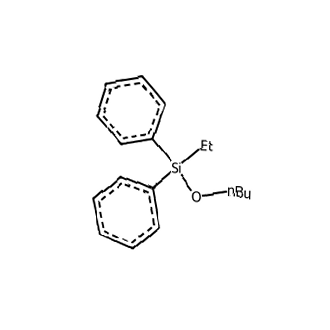 CCCCO[Si](CC)(c1ccccc1)c1ccccc1